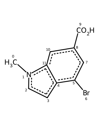 Cn1ccc2c(Br)cc(C(=O)O)cc21